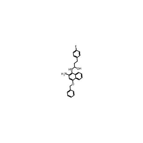 Nc1cc(OCc2ccccc2)c2ccccc2c1NC(O)CCc1ccc(F)cc1